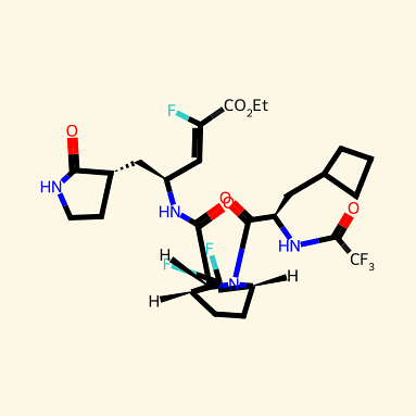 CCOC(=O)/C(F)=C/[C@H](C[C@@H]1CCNC1=O)NC(=O)[C@H]1[C@H]2CC[C@H](CC2(F)F)N1C(=O)[C@@H](CC1CCC1)NC(=O)C(F)(F)F